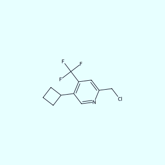 FC(F)(F)c1cc(CCl)ncc1C1CCC1